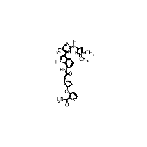 Cc1cnc(Nc2cc(C)n(C)n2)nc1-c1c[nH]c2c(NC(=O)CN3CCC(Oc4ccsc4C(N)=O)C3)cccc12